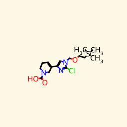 C[Si](C)(C)CCOCn1cc(C2=CCCN(C(=O)O)C2)nc1Cl